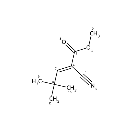 COC(=O)C(C#N)=CC(C)(C)C